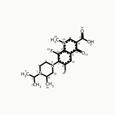 CC(C)N1CCN(c2c(F)cc3c(=O)c(C(=O)O)cn(C)c3c2F)CC1C